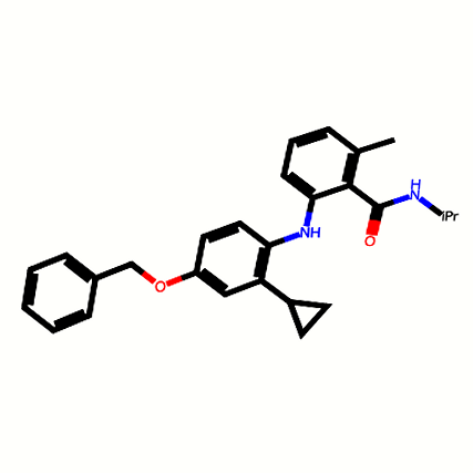 Cc1cccc(Nc2ccc(OCc3ccccc3)cc2C2CC2)c1C(=O)NC(C)C